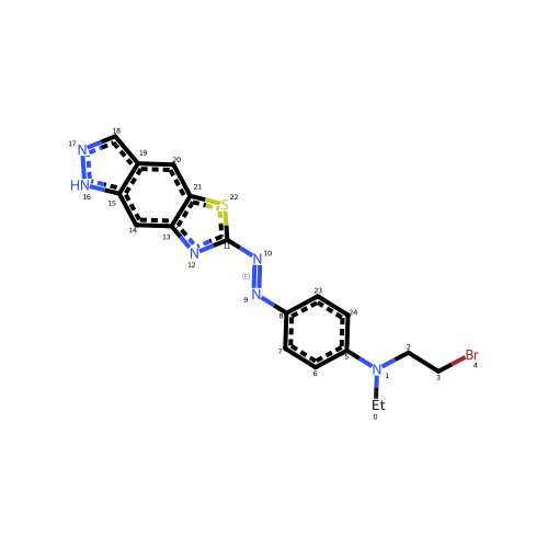 CCN(CCBr)c1ccc(/N=N/c2nc3cc4[nH]ncc4cc3s2)cc1